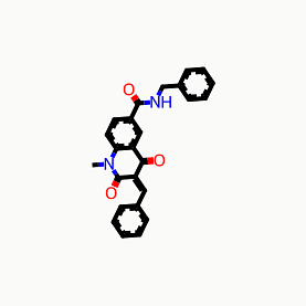 CN1C(=O)C(=Cc2ccccc2)C(=O)c2cc(C(=O)NCc3ccccc3)ccc21